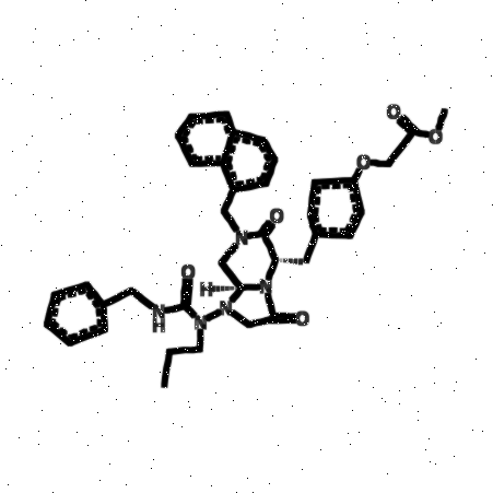 CCCN(C(=O)NCc1ccccc1)N1CC(=O)N2[C@@H](Cc3ccc(OCC(=O)OC)cc3)C(=O)N(Cc3cccc4ccccc34)C[C@@H]21